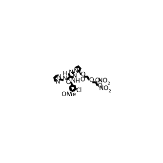 COc1ccc(CNc2nc(N3CCC[C@H]3COC(=O)CCOCC(CO[N+](=O)[O-])O[N+](=O)[O-])ncc2C(=O)NCc2ncccn2)cc1Cl